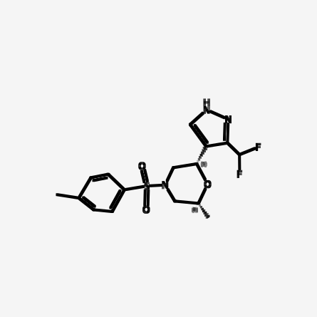 Cc1ccc(S(=O)(=O)N2C[C@@H](C)O[C@@H](c3c[nH]nc3C(F)F)C2)cc1